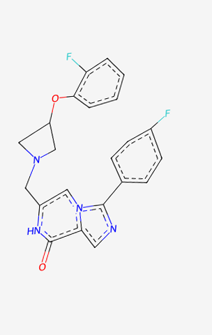 O=c1[nH]c(CN2CC(Oc3ccccc3F)C2)cn2c(-c3ccc(F)cc3)ncc12